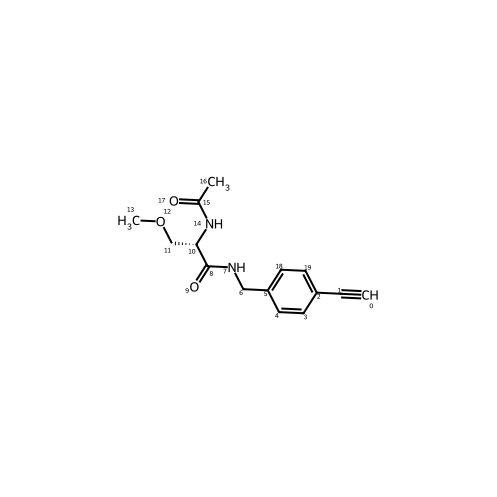 C#Cc1ccc(CNC(=O)[C@H](COC)NC(C)=O)cc1